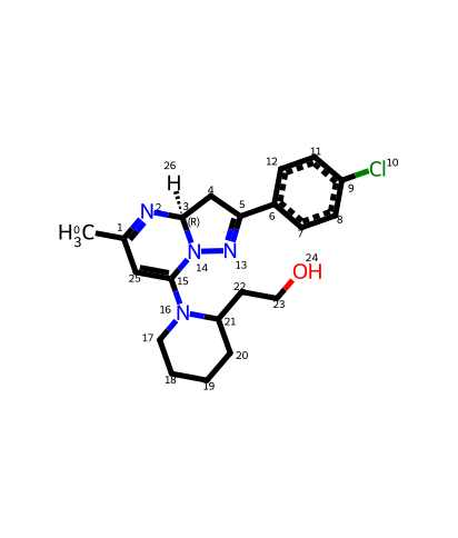 CC1=N[C@H]2CC(c3ccc(Cl)cc3)=NN2C(N2CCCCC2CCO)=C1